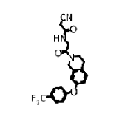 N#CCC(=O)NCC(=O)N1CCc2ccc(Oc3ccc(C(F)(F)F)cc3)cc2C1